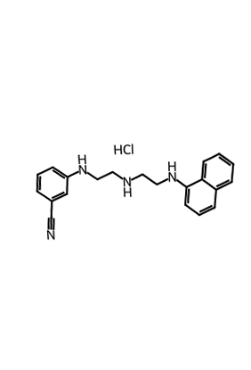 Cl.N#Cc1cccc(NCCNCCNc2cccc3ccccc23)c1